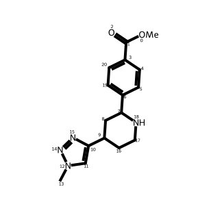 COC(=O)c1ccc(C2CC(c3cn(C)nn3)CCN2)cc1